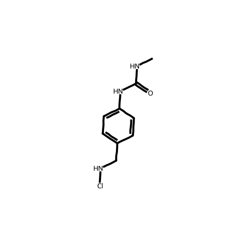 CNC(=O)Nc1ccc(CNCl)cc1